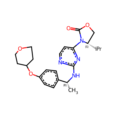 CC(C)[C@H]1COC(=O)N1c1ccnc(N[C@H](C)c2ccc(OC3CCOCC3)cc2)n1